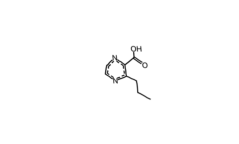 CCCc1nccnc1C(=O)O